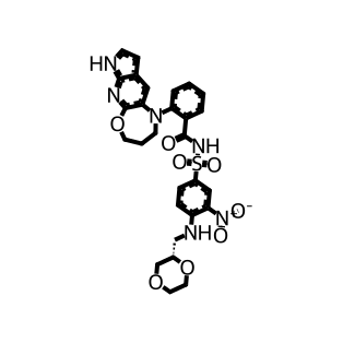 O=C(NS(=O)(=O)c1ccc(NC[C@H]2COCCO2)c([N+](=O)[O-])c1)c1ccccc1N1CCCOc2nc3[nH]ccc3cc21